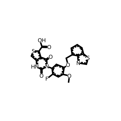 COc1cc(F)c(-n2c(=O)[nH]c3csc(C(=O)O)c3c2=O)cc1OCc1cccc2scnc12